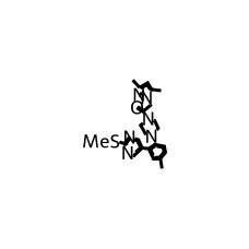 CSc1ncc(-c2cc(C)ccc2N2CCN(C(=O)Cn3nc(C)cc3C)CC2)cn1